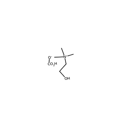 C[N+](C)(C)CCO.O=C([O-])O